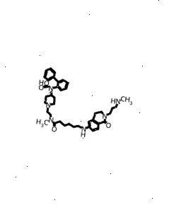 CNCCCN1CCc2cc(NCCCCCC(=O)N(C)CCN3CCC(N(C(=O)O)c4ccccc4-c4ccccc4)CC3)ccc2C1=O